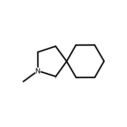 CN1[CH]C2(CCCCC2)CC1